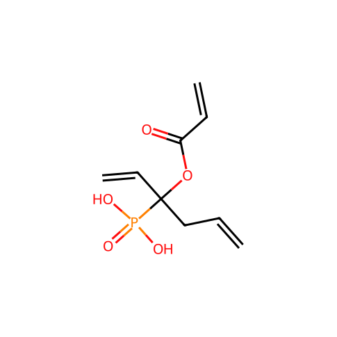 C=CCC(C=C)(OC(=O)C=C)P(=O)(O)O